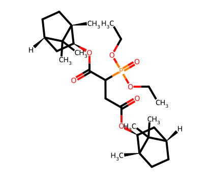 CCOP(=O)(OCC)C(CC(=O)O[C@H]1C[C@@H]2CC[C@@]1(C)C2(C)C)C(=O)O[C@H]1C[C@@H]2CC[C@@]1(C)C2(C)C